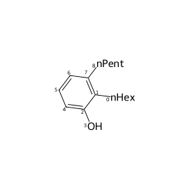 CCCCCCc1c(O)cccc1CCCCC